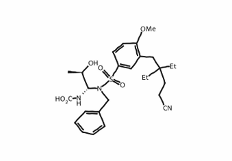 CCC(CC)(CCC#N)Cc1cc(S(=O)(=O)N(Cc2ccccc2)[C@H](NC(=O)O)[C@@H](C)O)ccc1OC